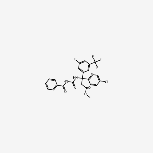 COC(=O)CC(NC(=S)NC(=O)c1ccccc1)(c1cc(F)cc(C(F)(F)F)c1)c1ccc(Cl)cn1